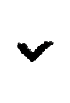 O=P([O-])([O-])[O-].O=P([O-])([O-])[O-].O=P([O-])([O-])[O-].O=P([O-])([O-])[O-].O=P([O-])([O-])[O-].O=P([O-])([O-])[O-].O=P([O-])([O-])[O-].[Al+3].[Al+3].[Al+3].[Fe+3].[Fe+3].[Fe+3].[Na+].[Na+].[Na+]